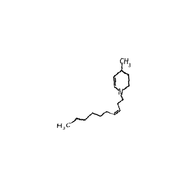 CCCCCC/C=C\CCN1C=CC(C)CC1